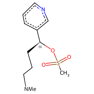 CNCCC[C@H](OS(C)(=O)=O)c1cccnc1